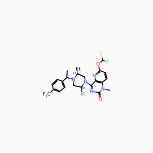 CC[C@H]1CN(C(C)c2ccc(C(F)(F)F)cc2)[C@H](CC)CN1c1nc(=O)n(C)c2ccc(OC(F)F)nc12